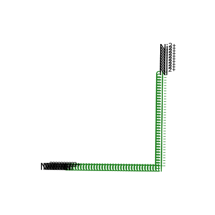 [Cl-].[Cl-].[Cl-].[Cl-].[Cl-].[Cl-].[Cl-].[Cl-].[Cl-].[Cl-].[Cl-].[Cl-].[Cl-].[Cl-].[Cl-].[Cl-].[Cl-].[Cl-].[Cl-].[Cl-].[Cl-].[Cl-].[Cl-].[Cl-].[Cl-].[Cl-].[Cl-].[Cl-].[Cl-].[Cl-].[Cl-].[Cl-].[Cl-].[Cl-].[Cl-].[Cl-].[Cl-].[Cl-].[Cl-].[Cl-].[Cl-].[Cl-].[Cl-].[Cl-].[Cl-].[Cl-].[Cl-].[Cl-].[Cl-].[Cl-].[Cl-].[Cl-].[Cl-].[Cl-].[Cl-].[Cl-].[Cl-].[Cl-].[Cl-].[Cl-].[Cl-].[Cl-].[Cl-].[Cl-].[Cl-].[Cl-].[Cl-].[Cl-].[Cl-].[Cl-].[Ni+2].[Ni+2].[Ni+2].[Ni+2].[Ni+2].[Ni+2].[Ni+2].[Ni+2].[Ni+2].[Ni+2].[Ni+2].[Ni+2].[Ni+2].[Ni+2].[Ni+2].[Ni+2].[Ni+2].[Ni+2].[Ni+2].[Ni+2]